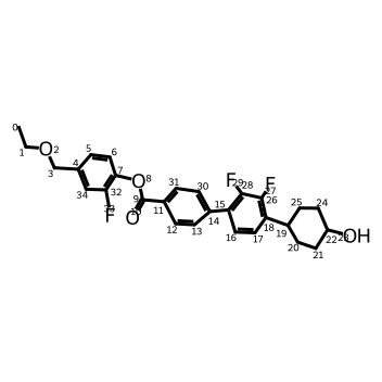 CCOCc1ccc(OC(=O)c2ccc(-c3ccc(C4CCC(O)CC4)c(F)c3F)cc2)c(F)c1